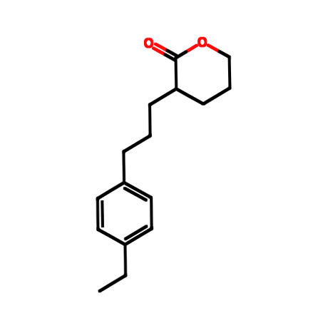 CCc1ccc(CCCC2CCCOC2=O)cc1